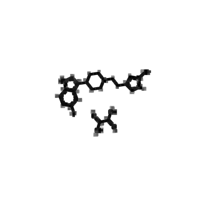 CC(C)n1cc(CCN2CCC(c3c[nH]c4ccc(F)cc34)CC2)cn1.O=C(O)C(=O)O